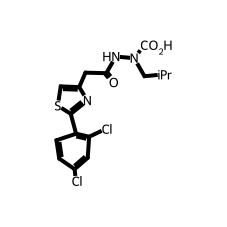 CC(C)CN(NC(=O)Cc1csc(-c2ccc(Cl)cc2Cl)n1)C(=O)O